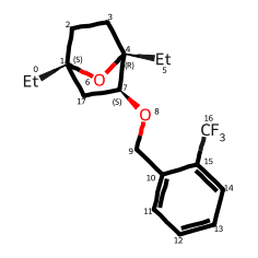 CC[C@@]12CC[C@@](CC)(O1)[C@@H](OCc1ccccc1C(F)(F)F)C2